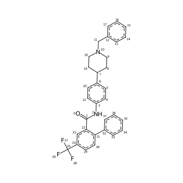 O=C(Nc1ccc(C2CCN(Cc3ccccc3)CC2)cc1)c1cc(C(F)(F)F)ccc1-c1ccccc1